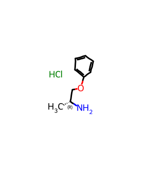 C[C@@H](N)COc1ccccc1.Cl